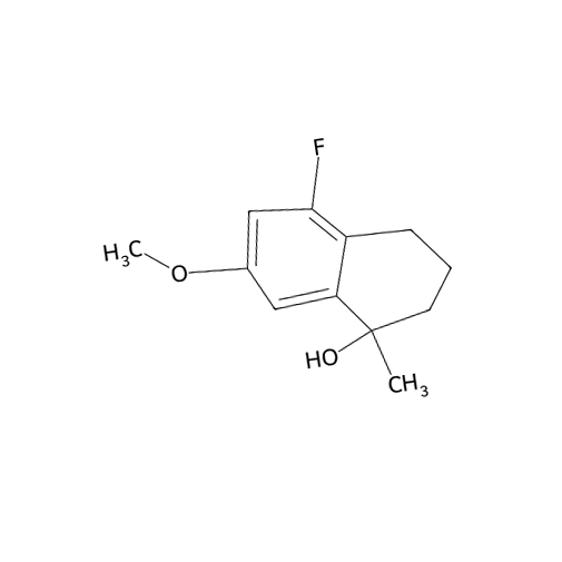 COc1cc(F)c2c(c1)C(C)(O)CCC2